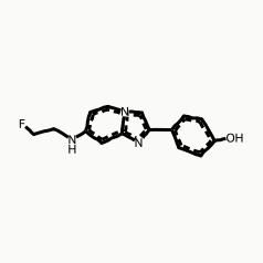 Oc1ccc(-c2cn3ccc(NCCF)cc3n2)cc1